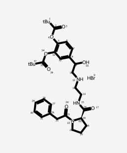 Br.CC(C)(C)C(=O)Oc1ccc(C(O)CNCCNC(=O)[C@H]2CCCN2C(=O)Cc2ccccc2)cc1OC(=O)C(C)(C)C